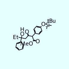 CCC(O)(CC(=O)C(C(=O)OC)c1ccc(O[Si](C)(C)C(C)(C)C)cc1)c1ccccc1